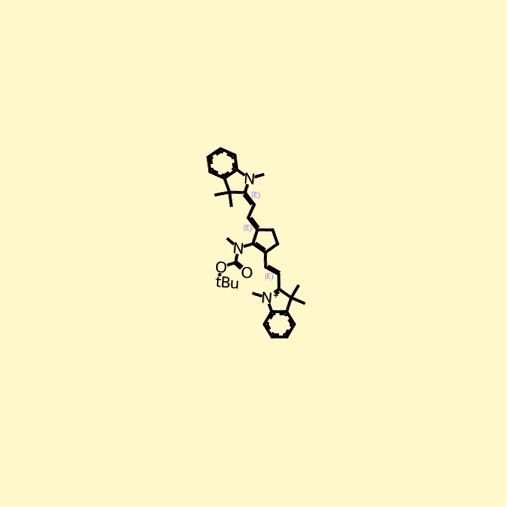 CN(C(=O)OC(C)(C)C)C1=C(/C=C/C2=[N+](C)c3ccccc3C2(C)C)CC/C1=C\C=C1\N(C)c2ccccc2C1(C)C